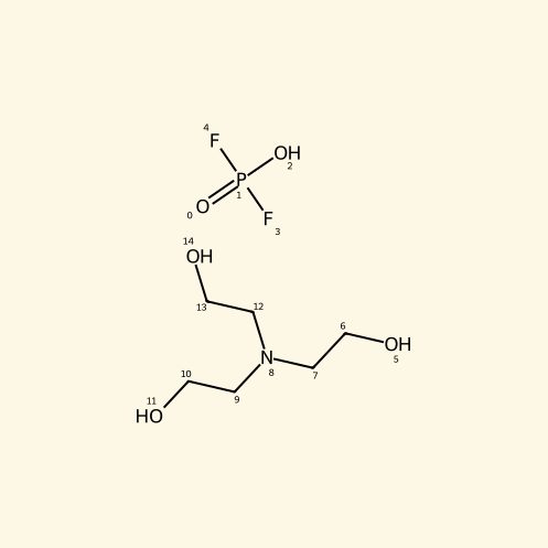 O=P(O)(F)F.OCCN(CCO)CCO